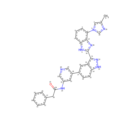 Cc1cn(-c2cccc3[nH]c(-c4n[nH]c5ccc(-c6cncc(NC(=O)Cc7ccccc7)c6)cc45)nc23)cn1